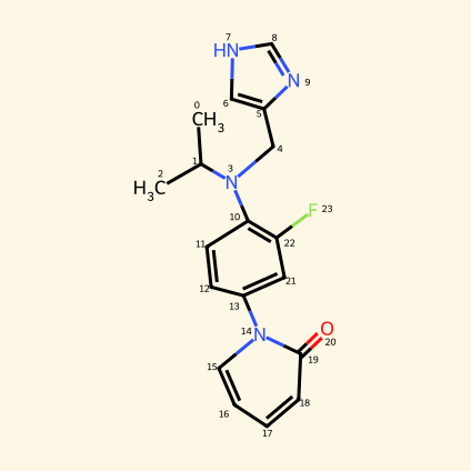 CC(C)N(Cc1c[nH]cn1)c1ccc(-n2ccccc2=O)cc1F